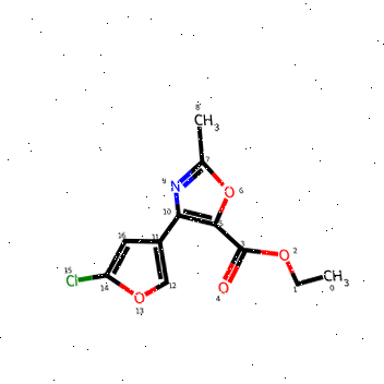 CCOC(=O)c1oc(C)nc1-c1coc(Cl)c1